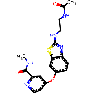 CNC(=O)c1cc(Oc2ccc3nc(NCCNC(C)=O)sc3c2)ccn1